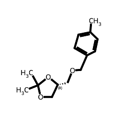 Cc1ccc(COC[C@@H]2COC(C)(C)O2)cc1